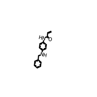 C=CC(=O)Nc1ccc(NCc2ccccc2)cc1